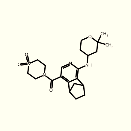 CC1(C)CC(Nc2ncc(C(=O)N3CCS(=O)(=O)CC3)c3c2C2CCC3C2)CCO1